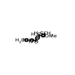 COc1ccc(C(C)N2CCN(C(=O)c3ccc(N4CCN(C)CC4)nc3)CC2)c(C)c1C